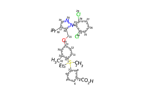 CCS(C)(c1cccc(C(=O)O)c1)c1ccc(OCc2c(C(C)C)cnn2-c2c(Cl)cccc2Cl)cc1C